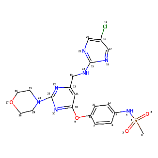 CS(=O)(=O)Nc1ccc(Oc2cc(CNc3ncc(Cl)cn3)nc(N3CCOCC3)n2)cc1